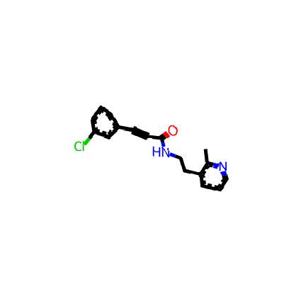 Cc1ncccc1CCNC(=O)C#Cc1cccc(Cl)c1